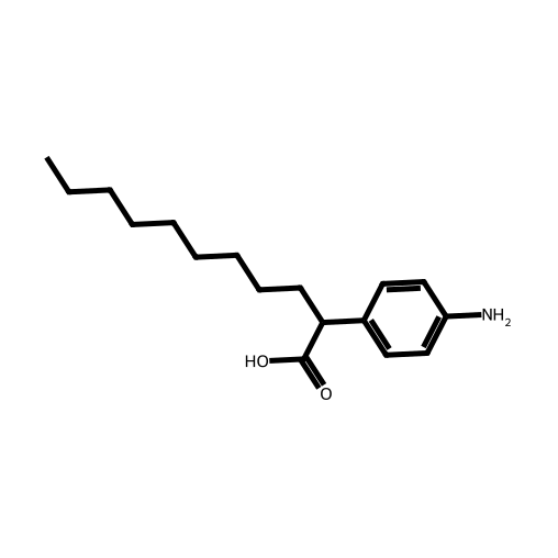 CCCCCCCCCC(C(=O)O)c1ccc(N)cc1